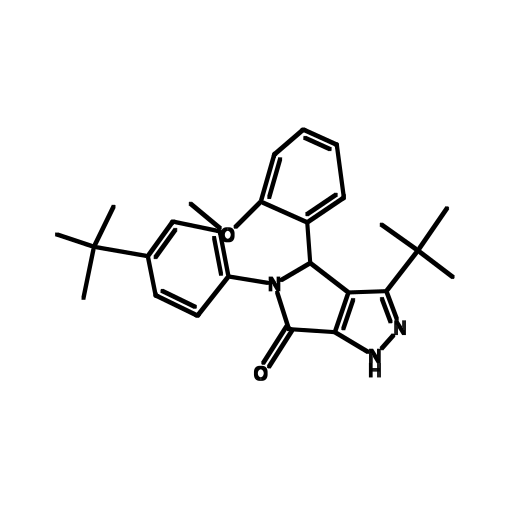 COc1ccccc1C1c2c(C(C)(C)C)n[nH]c2C(=O)N1c1ccc(C(C)(C)C)cc1